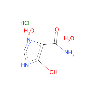 Cl.NC(=O)c1nc[nH]c1O.O.O